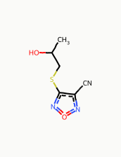 CC(O)CSc1nonc1C#N